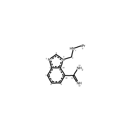 CC(C)NCn1cnc2cccc(C(=N)N)c21